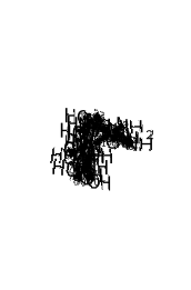 CC[C@H](C)[C@H](NC(=O)[C@H](CO)NC(=O)[C@H](CO)NC(=O)[C@H](CC(C)C)NC(=O)[C@H](CCCCN)NC(=O)[C@H](Cc1c[nH]cn1)NC(=O)CCN)C(=O)N[C@@H](CCC(=O)O)C(=O)N[C@H](C(=O)N[C@@H](CC(=O)O)C(=O)N[C@H](C(=O)O)C(C)C)[C@@H](C)O